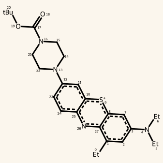 CCc1cc(N(CC)CC)cc2[s+]c3cc(N4CCN(C(=O)OC(C)(C)C)CC4)ccc3nc12